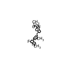 CCOC(=O)c1nnn2c1CCc1c(CCN3CCN(c4cc(F)cc5nc(C)ccc45)C[C@H]3C)cccc1-2